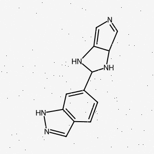 C1=NC=C2NC(c3ccc4cn[nH]c4c3)NC12